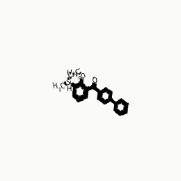 COc1c(C(=O)c2ccc(-c3ccccc3)cc2)cccc1[SiH](C)C